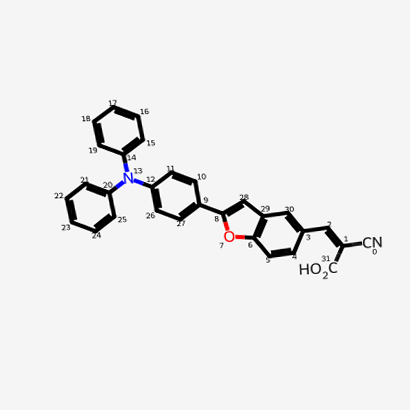 N#CC(=Cc1ccc2oc(-c3ccc(N(c4ccccc4)c4ccccc4)cc3)cc2c1)C(=O)O